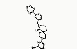 Cc1cc(C#N)nc(N2CCC3(CCCN(Cc4cccc(-c5ncccn5)c4)C3=O)CC2)n1